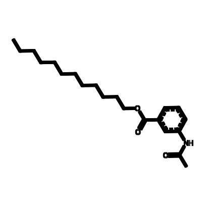 CCCCCCCCCCCCOC(=O)c1cccc(NC(C)=O)c1